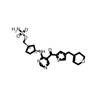 NS(=O)(=O)OC[C@@H]1CC[C@H](Nc2ncncc2C(=O)c2cc(CC3=CCOCC3)cs2)C1